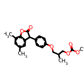 COC(=O)OCC(C)COc1ccc(C2C(=O)Oc3c(C)cc(C)cc32)cc1